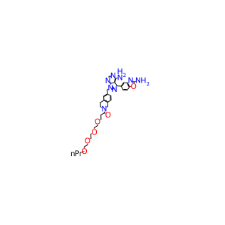 CCCOCCOCCOCCOCCC(=O)N1CCc2cc(Cn3nc(-c4ccc5oc(N)nc5c4)c4c(N)ncnc43)ccc2C1